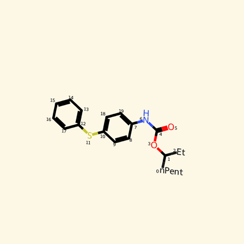 CCCCCC(CC)OC(=O)Nc1ccc(Sc2ccccc2)cc1